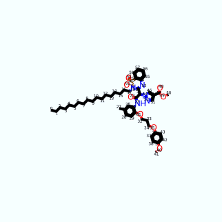 CCCCCCCCCCCCCCCCCCN1C(C(C(=O)Nc2cc(C)ccc2OCCCOc2ccc(OC)cc2)n2cc(C(=O)OC)cn2)=Nc2ccccc2S1(=O)=O